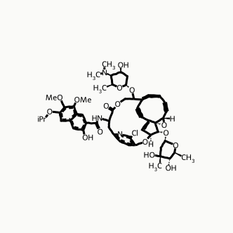 COc1c(OC(C)C)cc2cc(O)c(C(=O)NC3Cc4ccc(c(Cl)n4)O[C@H]4C=C5C#CC(=C=CC#C[C@@H]6O[C@]56[C@@H]4O[C@H]4C[C@@](C)(O)[C@@H](O)[C@H](C)O4)C(O[C@H]4C[C@H](O)[C@H](N(C)C)[C@H](C)O4)COC3=O)cc2c1OC